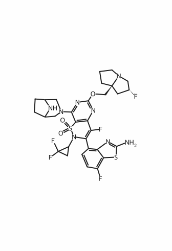 Nc1nc2c(C3=C(F)c4nc(OC[C@@]56CCCN5C[C@H](F)C6)nc(N5CC6CCC(C5)N6)c4S(=O)(=O)N3C3CC3(F)F)ccc(F)c2s1